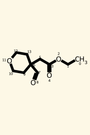 CCOC(=O)CC1(C=O)CCOCC1